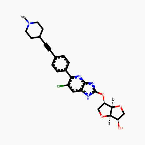 CC(=O)N1CCC(C#Cc2ccc(-c3nc4nc(O[C@@H]5CO[C@H]6[C@@H]5OC[C@H]6O)[nH]c4cc3Cl)cc2)CC1